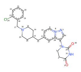 O=C1CCN(c2cnn3ccc(CC4CCN(Cc5ccccc5Cl)CC4)cc23)C(=O)N1